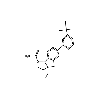 CCC1(CC)Cc2cc(-c3cccc(C(C)(C)C)c3)ccc2C1OC(N)=O